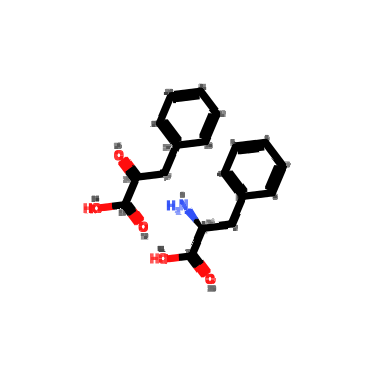 N[C@@H](Cc1ccccc1)C(=O)O.O=C(O)C(=O)Cc1ccccc1